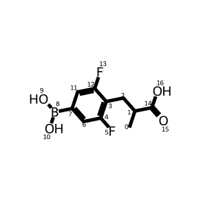 CC(Cc1c(F)cc(B(O)O)cc1F)C(=O)O